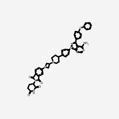 Nc1ncnc2c1c(-c1ccc(Oc3ccccc3)cc1)nn2-c1ccc(C2CCN(C3CN(c4ccc5c(c4)C(=O)N(C4CCC(=O)NC4=O)C5=O)C3)CC2)cc1